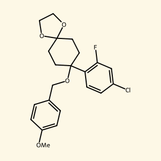 COc1ccc(COC2(c3ccc(Cl)cc3F)CCC3(CC2)OCCO3)cc1